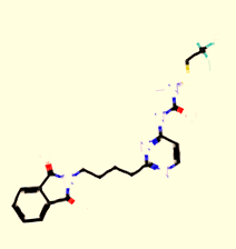 O=C(NSCC(F)(F)F)Nc1ccnc(CCCCN2C(=O)c3ccccc3C2=O)n1